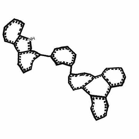 c1cc(-c2ccc3c4ccccc4c4ccccc4c3c2)cc(-c2cccc3c2[nH]c2ccccc23)c1